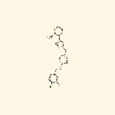 Nc1ncccc1-c1cc(Cc2ccc(OCc3ccc(F)c(F)c3)nc2)no1